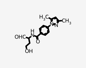 Cc1cc(C)n(-c2ccc(C(=O)NC(C=O)CCO)cc2)n1